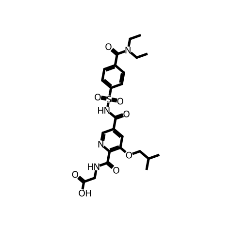 CCN(CC)C(=O)c1ccc(S(=O)(=O)NC(=O)c2cnc(C(=O)NCC(=O)O)c(OCC(C)C)c2)cc1